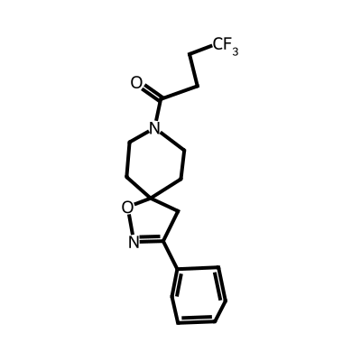 O=C(CCC(F)(F)F)N1CCC2(CC1)CC(c1ccccc1)=NO2